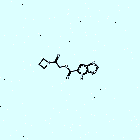 O=C(OCC(=O)N1CCC1)c1cc2occc2[nH]1